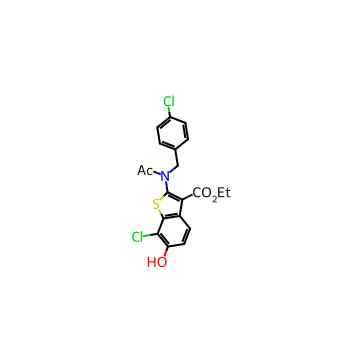 CCOC(=O)c1c(N(Cc2ccc(Cl)cc2)C(C)=O)sc2c(Cl)c(O)ccc12